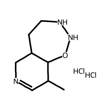 CC1C=NCC2CCNNOC12.Cl.Cl